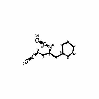 O=C=NCC(CC1CCCCC1)N=C=O